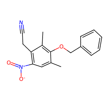 Cc1cc([N+](=O)[O-])c(CC#N)c(C)c1OCc1ccccc1